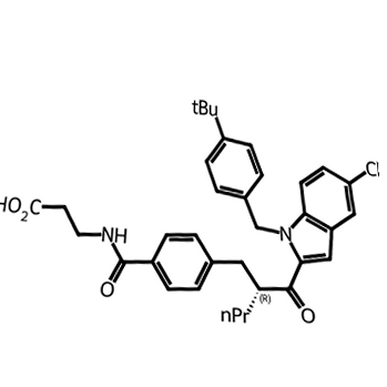 CCC[C@H](Cc1ccc(C(=O)NCCC(=O)O)cc1)C(=O)c1cc2cc(Cl)ccc2n1Cc1ccc(C(C)(C)C)cc1